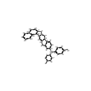 Cc1ccc(N(c2ccc(C)cc2)c2ccc3c(c2)Cc2cc4c(cc2-3)Cc2ccc3ccccc3c2-4)cc1